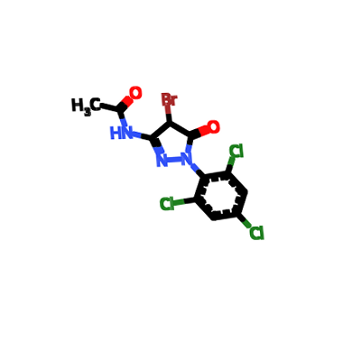 CC(=O)NC1=NN(c2c(Cl)cc(Cl)cc2Cl)C(=O)C1Br